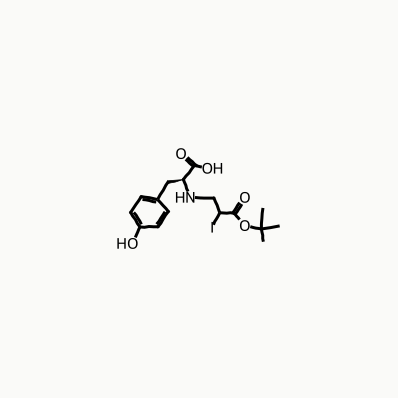 CC(C)(C)OC(=O)C(I)CN[C@@H](Cc1ccc(O)cc1)C(=O)O